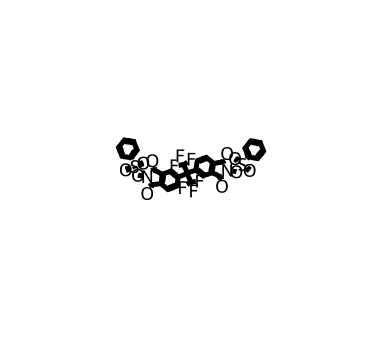 O=C1c2ccc(C(c3ccc4c(c3)C(=O)N(OS(=O)(=O)c3ccccc3)C4=O)(C(F)(F)F)C(F)(F)F)cc2C(=O)N1OS(=O)(=O)c1ccccc1